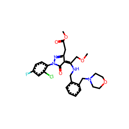 COC/C(NCc1ccccc1CN1CCOCC1)=C1/C(=O)N(c2ccc(F)cc2Cl)N=C1CC(=O)OC